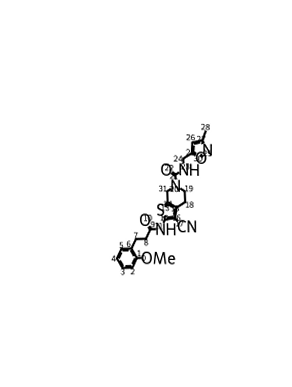 COc1ccccc1CCC(=O)Nc1sc2c(c1C#N)CCN(C(=O)NCc1cc(C)no1)C2